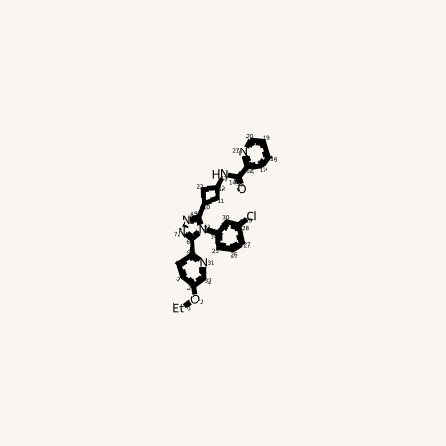 CCOc1ccc(-c2nnc(C3CC(NC(=O)c4ccccn4)C3)n2-c2cccc(Cl)c2)nc1